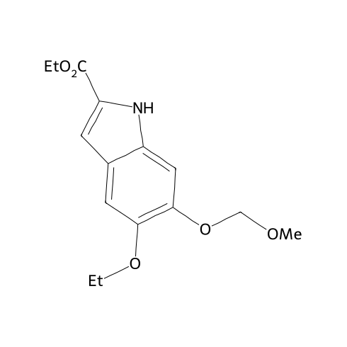 CCOC(=O)c1cc2cc(OCC)c(OCOC)cc2[nH]1